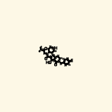 CN(C)C(=O)CN(C(=O)c1nn2c(c1O)C(=O)N(Cc1ccc(F)cc1)CC2)C1CCNCC1